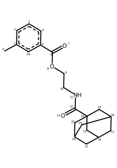 Cc1cccc(C(=O)OCCNC(=O)C23CC4CC(CC(C4)C2)C3)c1